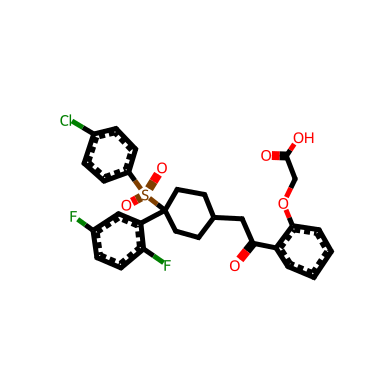 O=C(O)COc1ccccc1C(=O)CC1CCC(c2cc(F)ccc2F)(S(=O)(=O)c2ccc(Cl)cc2)CC1